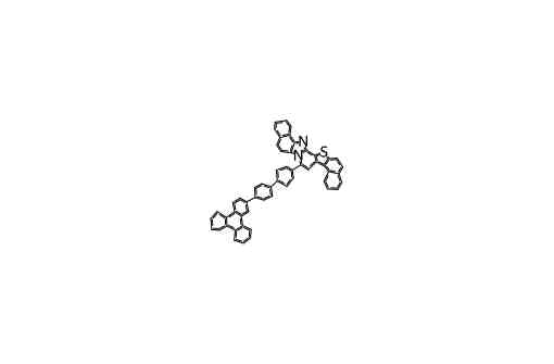 c1ccc2c(c1)ccc1c2nc2c3sc4ccc5ccccc5c4c3cc(-c3ccc(-c4ccc(-c5ccc6c7ccccc7c7ccccc7c6c5)cc4)cc3)n12